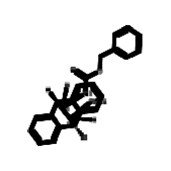 CCOC(=O)[C@H]1[C@H]2c3ccccc3[C@@H](c3ccccc32)[C@@H]1NC(=O)OCc1ccccc1